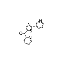 O=C(c1ccccn1)c1cnc(-c2cccnc2)s1